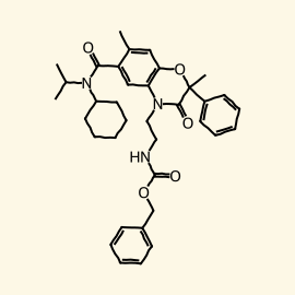 Cc1cc2c(cc1C(=O)N(C(C)C)C1CCCCC1)N(CCNC(=O)OCc1ccccc1)C(=O)C(C)(c1ccccc1)O2